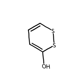 OC1=CC=CSS1